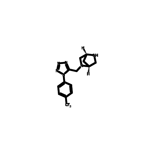 FC(F)(F)c1ccc(-n2nnnc2CN2C[C@@H]3C[C@H]2CN3)cc1